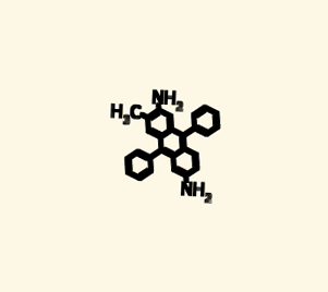 Cc1cc2c(-c3ccccc3)c3cc(N)ccc3c(-c3ccccc3)c2cc1N